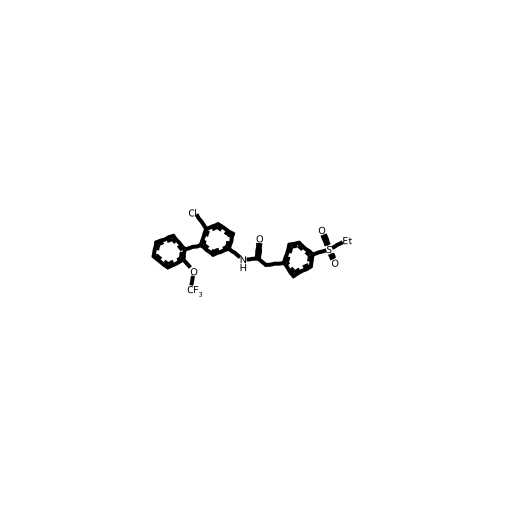 CCS(=O)(=O)c1ccc(CC(=O)Nc2ccc(Cl)c(-c3ccccc3OC(F)(F)F)c2)cc1